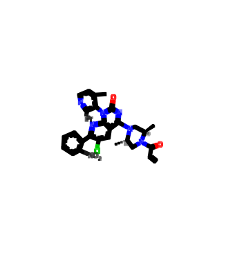 C=CC(=O)N1C[C@H](C)N(c2nc(=O)n(-c3c(C)ccnc3C(C)C)c3nc(-c4ccccc4[N+](=O)[O-])c(Cl)cc23)C[C@H]1C